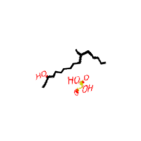 CCCCCC(C)CCCCCCCC(C)O.O=S(=O)(O)O